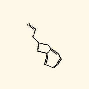 O=CCC1Cc2ccccc2C1